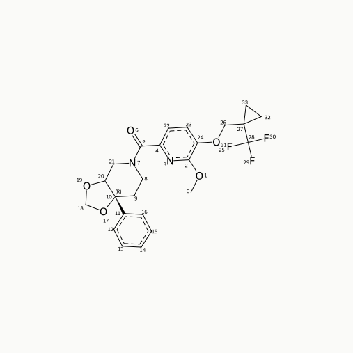 COc1nc(C(=O)N2CC[C@]3(c4ccccc4)OCOC3C2)ccc1OCC1(C(F)(F)F)CC1